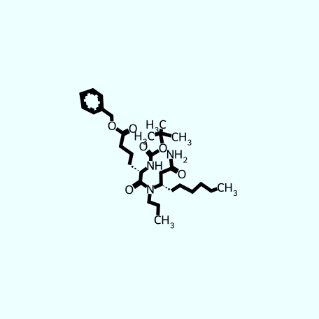 CCCCCC[C@@H](CC(N)=O)N(CCC)C(=O)[C@H](CCCC(=O)OCc1ccccc1)NC(=O)OC(C)(C)C